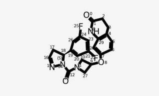 O=C1CCc2ccc(OC3CN(C(=O)N4N=CC[C@H]4c4cc(F)cc(F)c4)C3)cc2N1